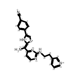 N#Cc1ccc(C2=CS/C(=C(/N)c3ccnc(NCCc4cccnc4)n3)N2)cc1